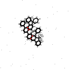 CC1(C)c2ccccc2-c2cccc(-c3ccccc3N(c3ccc4c(c3)C3(CCCCC3)c3ccccc3-4)c3ccccc3-c3ccc(-c4ccccc4)cc3)c21